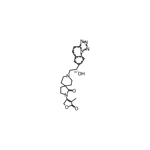 CC1=C(N2CCC3(CCN(C[C@@H](O)c4ccc5c(ccc6nnnn65)c4)CC3)C2=O)COC1=O